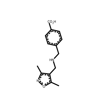 Cc1noc(C)c1CNCc1ccc(C(=O)O)cc1